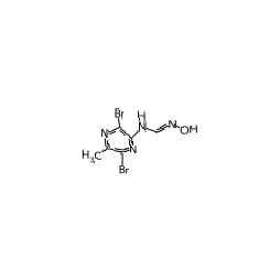 Cc1nc(Br)c(NC=NO)nc1Br